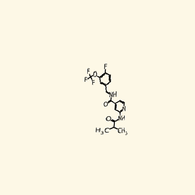 CC(C)C(=O)Nc1cc(C(=O)NCc2ccc(F)c(OC(F)(F)F)c2)ccn1